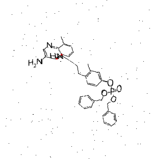 CC1=CC=CC23NC(CCc4ccc(OP(=O)(OCc5ccccc5)OCc5ccccc5)cc4C)=CC=C2C(N)=CN=C13